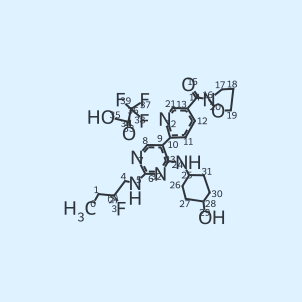 CC[C@H](F)CNc1ncc(-c2ccc(C(=O)N3CCCO3)cn2)c(NC2CCC(O)CC2)n1.O=C(O)C(F)(F)F